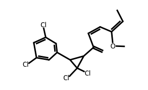 C=C(/C=C\C(=C/C)OC)C1C(c2cc(Cl)cc(Cl)c2)C1(Cl)Cl